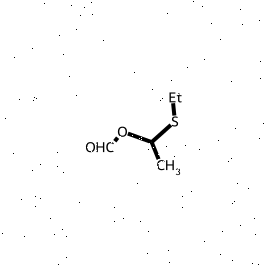 CCSC(C)OC=O